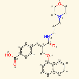 O=C(NCCCN1CCOCC1)/C(=C/c1ccc(C(=O)O)cc1)COc1cccc2ccccc12